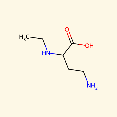 CCNC(CCN)C(=O)O